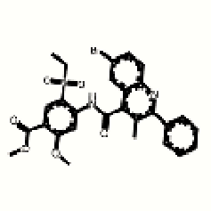 CCS(=O)(=O)c1cc(C(=O)OC)c(OC)cc1NC(=O)c1c(C)c(-c2ccccc2)nc2ccc(Br)cc12